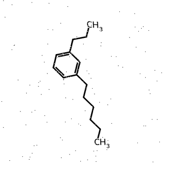 CCCCCCc1[c]ccc(CCC)c1